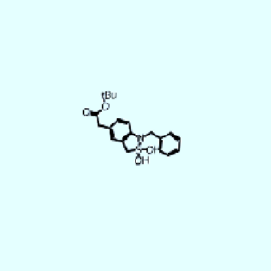 CC(C)(C)OC(=O)Cc1ccc2c(c1)CS(O)(O)N2Cc1ccccc1